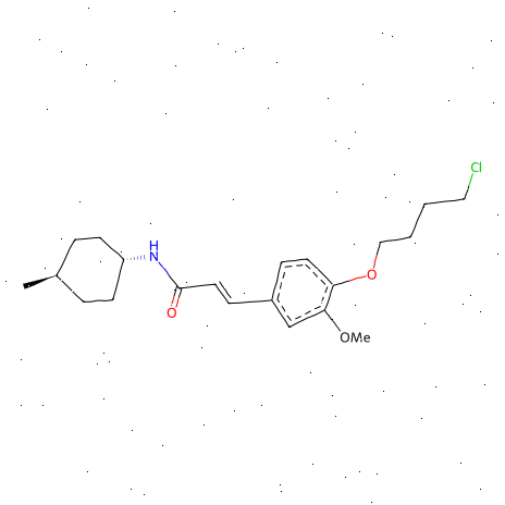 COc1cc(C=CC(=O)N[C@H]2CC[C@H](C)CC2)ccc1OCCCCCl